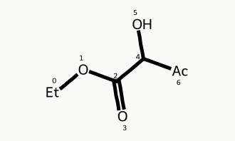 CCOC(=O)C(O)C(C)=O